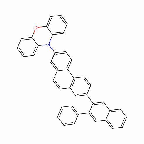 c1ccc(-c2cc3ccccc3cc2-c2ccc3c(ccc4cc(N5c6ccccc6Oc6ccccc65)ccc43)c2)cc1